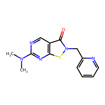 CN(C)c1ncc2c(=O)n(Cc3ccccn3)sc2n1